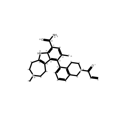 C=CC(=O)N1CCc2c(cccc2-c2c(F)cc(C(N)=O)c3[nH]c4c(c23)CCN(C)CC4)C1